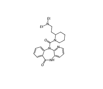 CCN(CC)CCC1CCCCN1C(=O)N1c2ccccc2C(=O)Nc2cccnc21